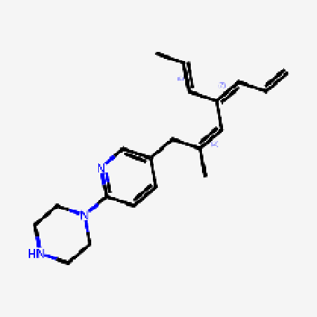 C=C/C=C(\C=C(\C)Cc1ccc(N2CCNCC2)nc1)/C=C/C